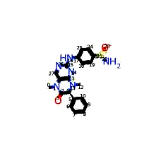 CN1C(=O)[C@H](c2ccccc2)N(C)c2nc(Nc3ccc([S+](N)[O-])cc3)ncc21